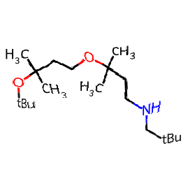 CC(C)(C)CNCCC(C)(C)OCCC(C)(C)OC(C)(C)C